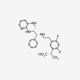 C[C@H](C(=O)O)c1cc(CCN[C@H](c2ccccc2)[C@H]2CNc3cccnc3N2)c(F)cc1F